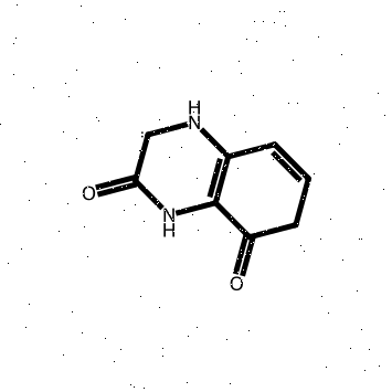 O=C1[C]NC2=C(N1)C(=O)CC=C2